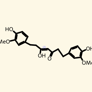 COc1cc(CCC(=O)/C=C(\O)CCc2ccc(O)c(OC)c2)ccc1O